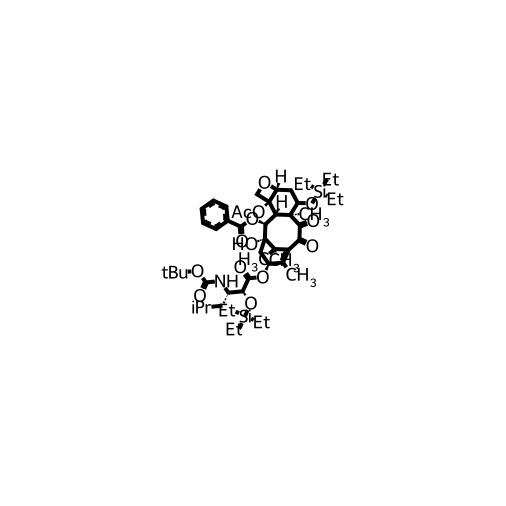 CC[Si](CC)(CC)OC1C[C@H]2OC[C@@]2(OC(C)=O)[C@H]2[C@H](OC(=O)c3ccccc3)[C@]3(O)C[C@H](OC(=O)[C@H](O[Si](CC)(CC)CC)[C@H](CC(C)C)NC(=O)OC(C)(C)C)C(C)=C(C(=O)C(=O)[C@]12C)C3(C)C